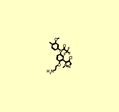 COc1cc(N(C(=O)C(F)(F)F)c2ccc(OCCN)c(-c3c(Cl)cnn3C)c2)ccc1C